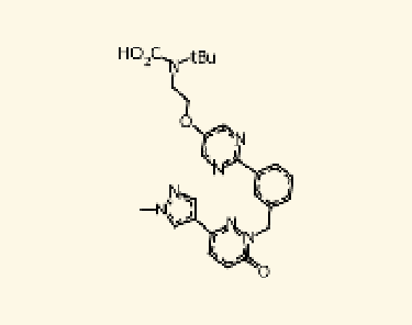 Cn1cc(-c2ccc(=O)n(Cc3cccc(-c4ncc(OCCN(C(=O)O)C(C)(C)C)cn4)c3)n2)cn1